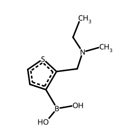 CCN(C)Cc1sccc1B(O)O